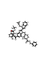 COc1cc(C(=O)N2C[C@H]3CC[C@@H]2[C@@H]3NC(=O)OC(C)(C)C)cc2nc(-c3cc4cccnc4n3CC3CC3)n(CC3CCN(C(=O)OCc4ccccc4)CC3)c12